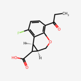 CCC(=O)c1ccc(F)c2c1OC[C@H]1C(C(=O)O)[C@@H]21